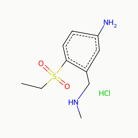 CCS(=O)(=O)c1ccc(N)cc1CNC.Cl